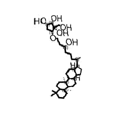 C[C@H](CCC[C@@H](O)CCO[C@H]1C[C@@H](O)[C@H](O)[C@]1(O)CO)[C@H]1CCC2[C@H]3CCC4[C@@](C)(CCC5C(C)(C)CCC[C@@]54C)C3CC[C@H]21